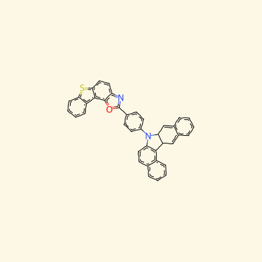 C1=c2ccccc2=CC2C1c1c(ccc3ccccc13)N2c1ccc(-c2nc3ccc4sc5ccccc5c4c3o2)cc1